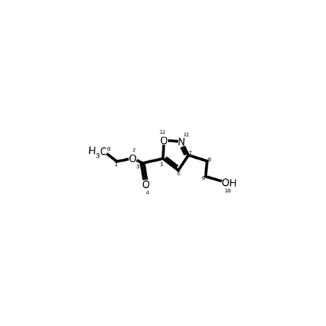 CCOC(=O)c1cc(CCO)no1